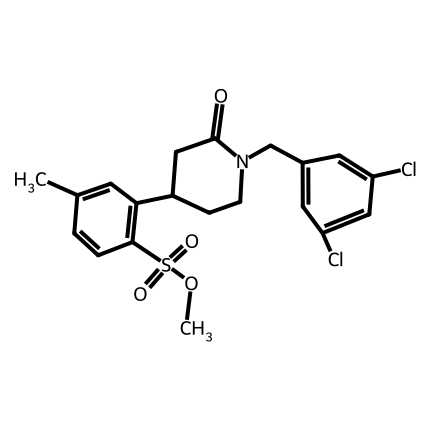 COS(=O)(=O)c1ccc(C)cc1C1CCN(Cc2cc(Cl)cc(Cl)c2)C(=O)C1